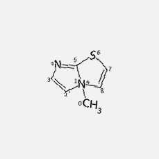 C[N+]12[C]=CN=C1SC=C2